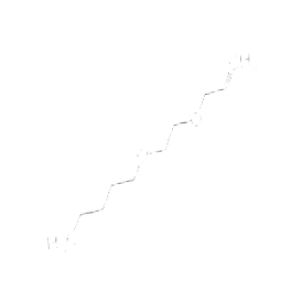 C=CCOCCOCCCCC